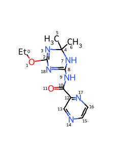 CCOC1=NC(C)(C)NC(NC(=O)c2cnccn2)=N1